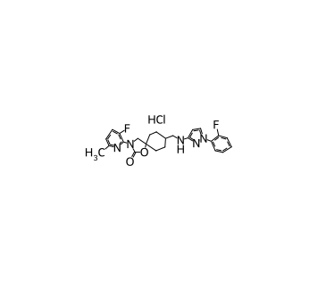 Cc1ccc(F)c(N2CC3(CCC(CNc4ccn(-c5ccccc5F)n4)CC3)OC2=O)n1.Cl